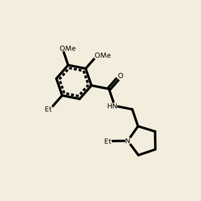 CCc1cc(OC)c(OC)c(C(=O)NCC2CCCN2CC)c1